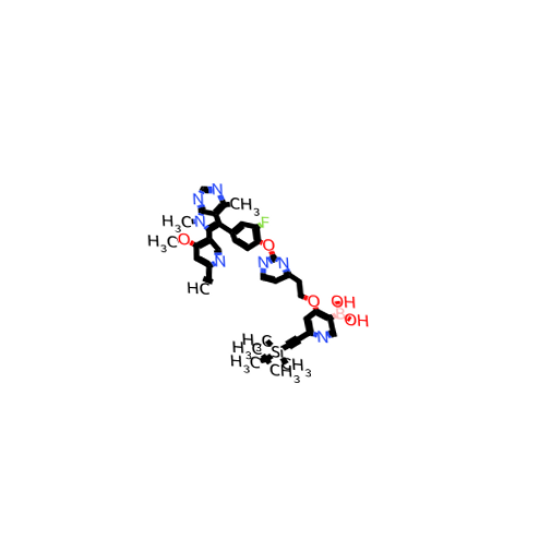 C#Cc1cc(OC)c(-c2c(-c3ccc(Oc4nccc(CCOc5cc(C#C[Si](C)(C)C(C)(C)C)ncc5B(O)O)n4)c(F)c3)c3c(C)ncnc3n2C)cn1